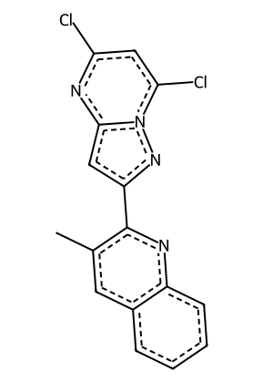 Cc1cc2ccccc2nc1-c1cc2nc(Cl)cc(Cl)n2n1